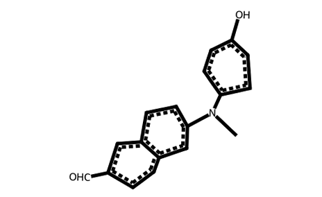 CN(c1ccc(O)cc1)c1ccc2cc(C=O)ccc2c1